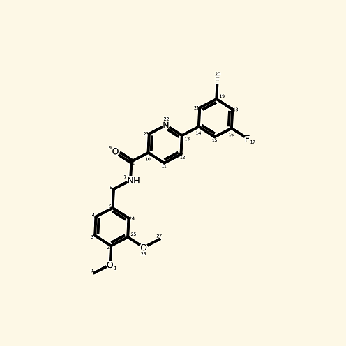 COc1ccc(CNC(=O)c2ccc(-c3cc(F)cc(F)c3)nc2)cc1OC